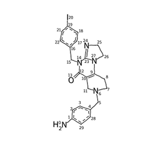 Nc1ccc(CN2CCC3=C(C2)C(=O)N(Cc2ccc(I)cc2)C2=NCCN23)cc1